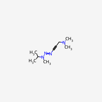 CC(C)N(C)N=NC#CCN(C)C